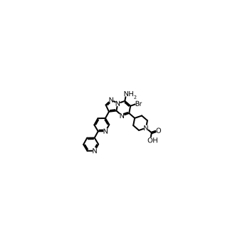 Nc1c(Br)c(C2CCN(C(=O)O)CC2)nc2c(-c3ccc(-c4cccnc4)nc3)cnn12